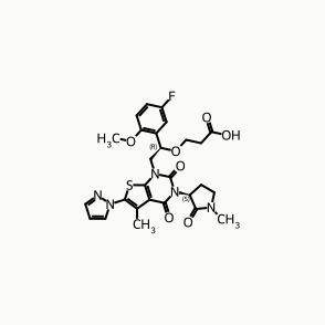 COc1ccc(F)cc1[C@H](Cn1c(=O)n([C@H]2CCN(C)C2=O)c(=O)c2c(C)c(-n3cccn3)sc21)OCCC(=O)O